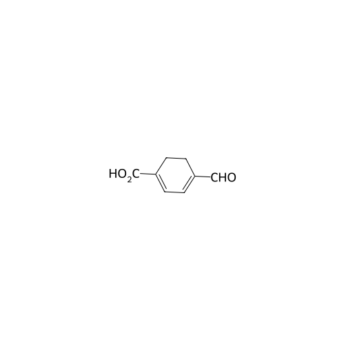 O=CC1=CC=C(C(=O)O)CC1